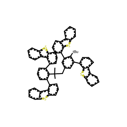 CC(C)(C)c1c(-c2cccc3c2sc2ccccc23)cc(CC(C)(C)c2c(-c3cccc4sc5ccccc5c34)cccc2-c2cccc3sc4ccccc4c23)cc1-c1cccc2c1sc1ccccc12